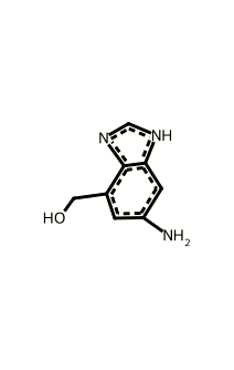 Nc1cc(CO)c2nc[nH]c2c1